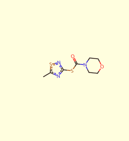 Cc1nc(SC(=O)N2CCOCC2)ns1